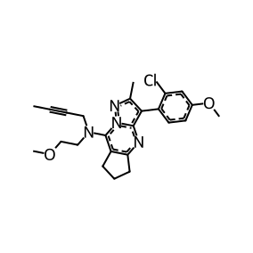 CC#CCN(CCOC)c1c2c(nc3c(-c4ccc(OC)cc4Cl)c(C)nn13)CCC2